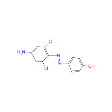 Nc1cc(Cl)c(N=Nc2ccc(O)cc2)c(Cl)c1